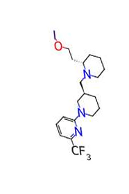 FC(F)(F)c1cccc(N2CCC[C@H](CN3CCCC[C@H]3CCOI)C2)n1